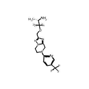 [2H]C([2H])(OCc1nc2n(n1)CCN(c1ccc(C(F)(F)F)cn1)C2)[C@H](C)N